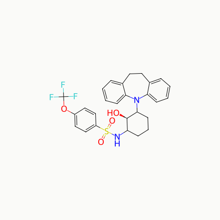 O=S(=O)(NC1CCCC(N2c3ccccc3CCc3ccccc32)[C@@H]1O)c1ccc(OC(F)(F)F)cc1